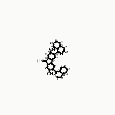 N#Cc1cc2c(cc1-c1nccc3ccccc13)-c1cc(-c3nccc4ccccc34)c(C#N)cc1C2=N